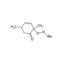 CC1C=CC(C)(OOC(C)(C)C)C(=O)C1